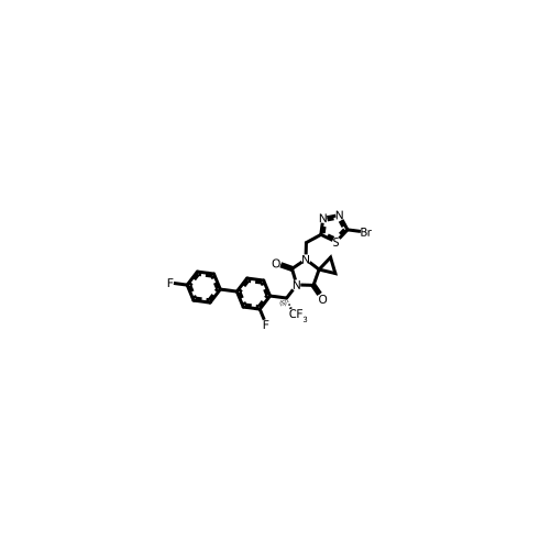 O=C1N([C@@H](c2ccc(-c3ccc(F)cc3)cc2F)C(F)(F)F)C(=O)C2(CC2)N1Cc1nnc(Br)s1